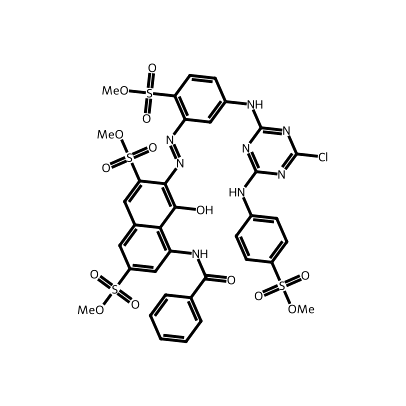 COS(=O)(=O)c1ccc(Nc2nc(Cl)nc(Nc3ccc(S(=O)(=O)OC)c(/N=N/c4c(S(=O)(=O)OC)cc5cc(S(=O)(=O)OC)cc(NC(=O)c6ccccc6)c5c4O)c3)n2)cc1